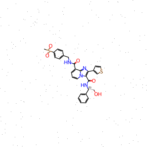 CS(=O)(=O)c1ccc(CNC(=O)c2cccn3c(C(=O)N[C@H](CO)c4ccccc4)c(-c4ccsc4)nc23)cc1